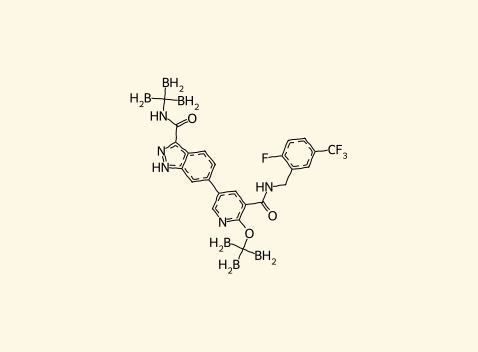 BC(B)(B)NC(=O)c1n[nH]c2cc(-c3cnc(OC(B)(B)B)c(C(=O)NCc4cc(C(F)(F)F)ccc4F)c3)ccc12